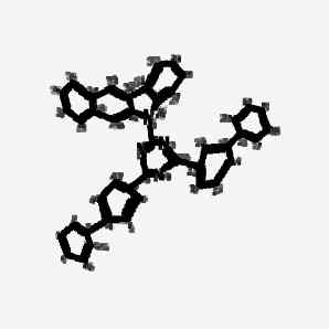 c1ccc(-c2ccc(-c3nc(-c4cccc(-c5ccccc5)c4)nc(-n4c5ccccc5c5cc6ccccc6cc54)n3)cc2)cc1